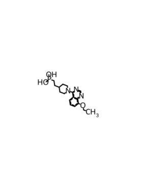 CCOc1cccc2c(N3CCC(CCP(O)O)CC3)ncnc12